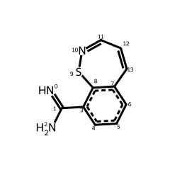 N=C(N)c1cccc2c1SN=CC=C2